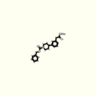 COC(=O)Cc1cccc(C2CCN(C(=O)OCc3ccccc3)CC2)c1